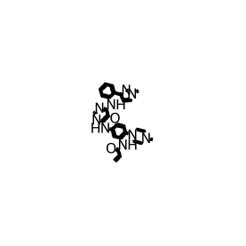 C=CC(=O)Nc1cc(Nc2cc(Nc3ccccc3-c3ccn(C)n3)ncn2)c(OC)cc1N1CCN(C)CC1